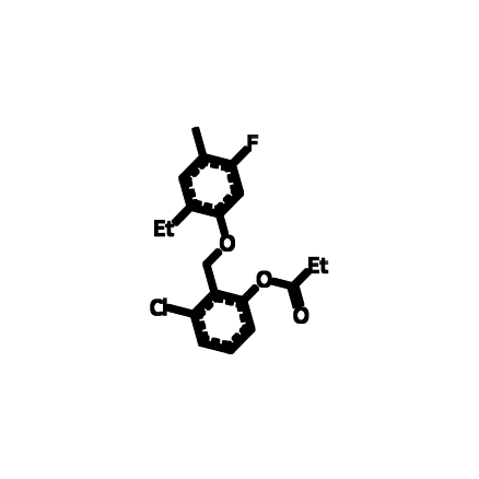 CCC(=O)Oc1cccc(Cl)c1COc1cc(F)c(C)cc1CC